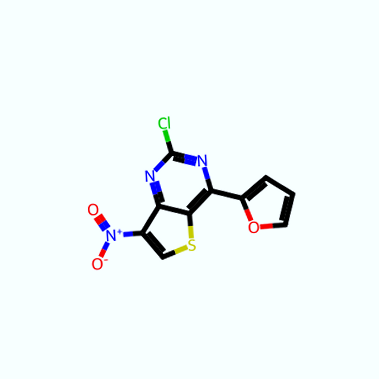 O=[N+]([O-])c1csc2c(-c3ccco3)nc(Cl)nc12